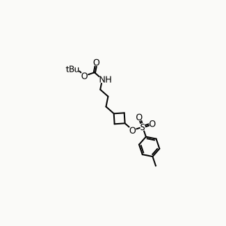 Cc1ccc(S(=O)(=O)OC2CC(CCCNC(=O)OC(C)(C)C)C2)cc1